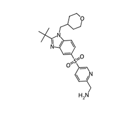 CC(C)(C)c1nc2cc(S(=O)(=O)c3ccc(CN)nc3)ccc2n1CC1CCOCC1